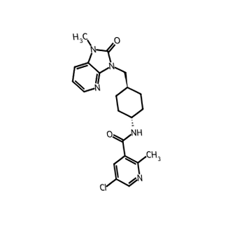 Cc1ncc(Cl)cc1C(=O)N[C@H]1CC[C@H](Cn2c(=O)n(C)c3cccnc32)CC1